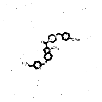 COc1ccc(CN2CCN(C(=O)c3cc4cc(Oc5ccc(CN)cn5)ccc4n3C)CC2)cc1